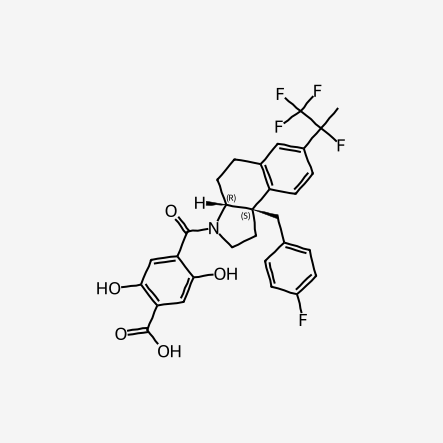 CC(F)(c1ccc2c(c1)CC[C@H]1N(C(=O)c3cc(O)c(C(=O)O)cc3O)CC[C@@]21Cc1ccc(F)cc1)C(F)(F)F